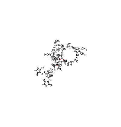 CC[C@H](C)[C@@H]1NCC(=O)CNC(=O)[C@@H]2Cc3c([nH]c4ccc(NC(=O)CCNP(=O)(NCCN5C(=O)C=CC5=O)NCCN5C(=O)C=CC5=O)cc34)SC[C@H](NC(=O)CNC1=O)C(=O)N[C@@H](CC(=O)OC)C(=O)N1C[C@@H](O)C[C@H]1C(=O)N[C@@H]([C@@H](C)CC)C(=O)N2